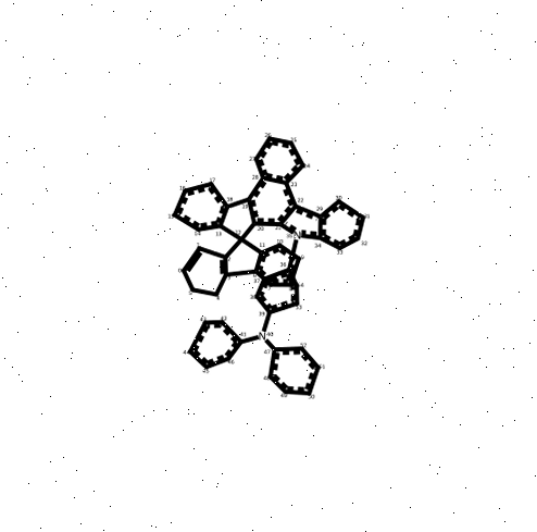 C1=CC2=C(CC1)c1ccccc1C21c2ccccc2-c2c1c1c(c3ccccc23)c2ccccc2n1-c1ccc(N(c2ccccc2)c2ccccc2)cc1